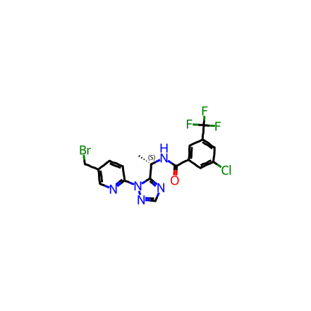 C[C@H](NC(=O)c1cc(Cl)cc(C(F)(F)F)c1)c1ncnn1-c1ccc(CBr)cn1